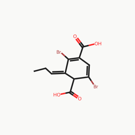 CCC=C1C(Br)=C(C(=O)O)C=C(Br)C1C(=O)O